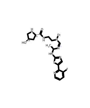 CCN(/C=N\C(C)Nc1ncc(-c2ncccc2F)s1)CCNC(=O)[C@@H]1C[C@@H](O)CN1